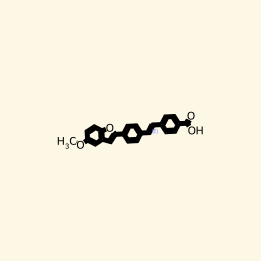 COc1ccc2oc(-c3ccc(/C=C/c4ccc(C(=O)O)cc4)cc3)cc2c1